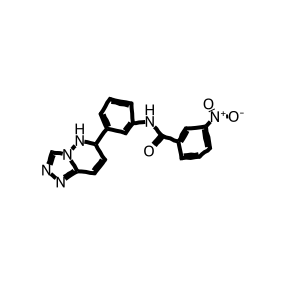 O=C(Nc1cccc(C2C=Cc3nncn3N2)c1)c1cccc([N+](=O)[O-])c1